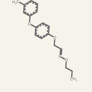 CCCON=CCOc1ccc(Oc2cccc(C)c2)cc1